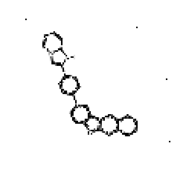 C1=CC2NC(c3ccc(-c4ccc5oc6cc7ccccc7cc6c5c4)cc3)=CN2C=C1